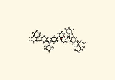 C1=C(c2ccc(N(c3ccccc3)c3ccccc3-c3ccc(-c4ccc(N(c5ccccc5)c5ccc(C6=c7ccccc7=CCC6)cc5)cc4)cc3)cc2)c2ccccc2CC1